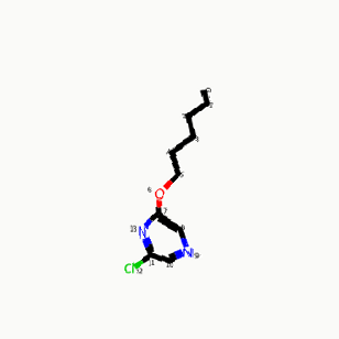 CCCCCCOc1cncc(Cl)n1